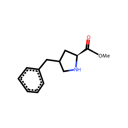 COC(=O)[C@@H]1CC(Cc2ccccc2)CN1